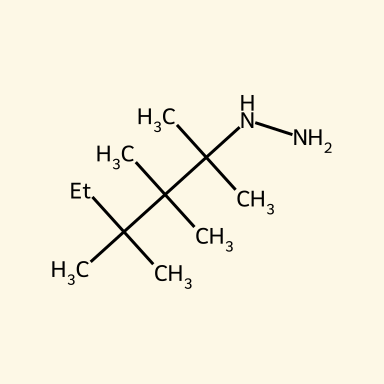 CCC(C)(C)C(C)(C)C(C)(C)NN